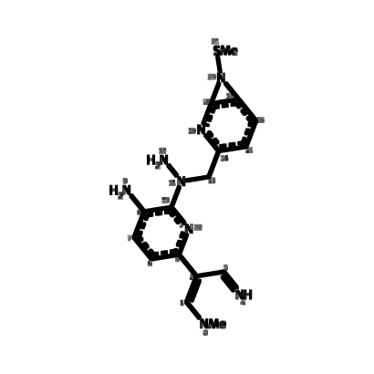 CN/C=C(\C=N)c1ccc(N)c(N(N)Cc2ccc3c(n2)N3SC)n1